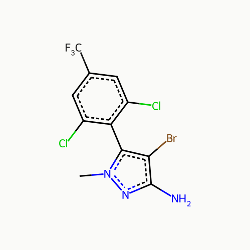 Cn1nc(N)c(Br)c1-c1c(Cl)cc(C(F)(F)F)cc1Cl